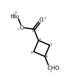 CC(C)(C)OC(=O)C1CC(C=O)C1